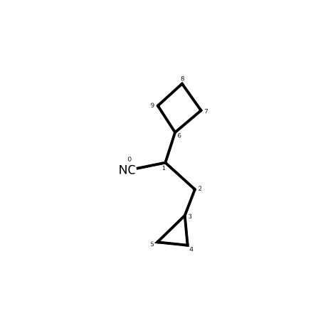 N#C[C](CC1CC1)C1CCC1